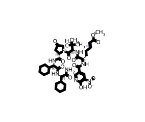 COC(=O)/C=C/CC[C@H](NC(=O)c1cnc(O)c([N+](=O)[O-])c1)C(=O)N[C@H](C(=O)N1CC(=O)C[C@H]1C(=O)N[C@H](C(=O)N[C@H](C(N)=O)C1CCCCC1)C1CCCCC1)C(C)(C)C